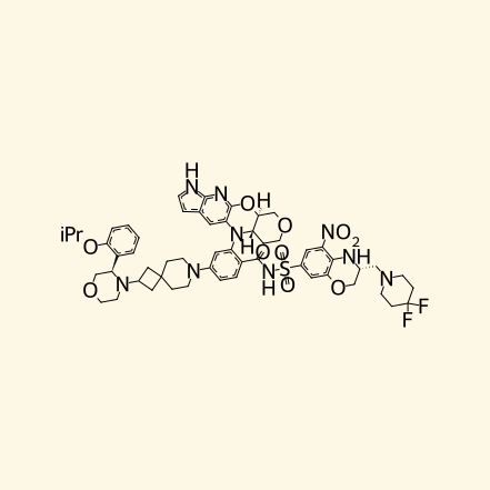 CC(C)Oc1ccccc1[C@@H]1COCCN1C1CC2(CCN(c3ccc(C(=O)NS(=O)(=O)c4cc5c(c([N+](=O)[O-])c4)N[C@H](CN4CCC(F)(F)CC4)CO5)c(N4c5cc6cc[nH]c6nc5O[C@H]5COCC[C@@H]54)c3)CC2)C1